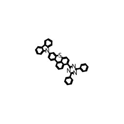 c1ccc(-c2nc(-c3ccccc3)nc(-c3ccc4c5c(cccc35)-c3ccc(-n5c6ccccc6c6ccccc65)cc3S4)n2)cc1